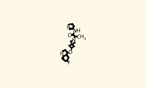 CC(C(=O)Nc1cccnc1)N1CC2(CC(Oc3ccnc4ccc(F)cc34)C2)C1